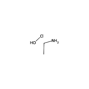 CCN.OCl